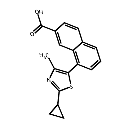 Cc1nc(C2CC2)sc1-c1cccc2ccc(C(=O)O)cc12